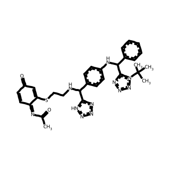 CC(=O)/N=C1/C=CC(=O)C=C1SCCNC(c1ccc(NC(c2ccccc2)c2nnnn2C(C)(C)C)cc1)c1nnn[nH]1